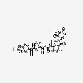 O=C1CCC(N2Cc3c(NC(=O)CNc4ccnc(Nc5ccc6c(c5)ONO6)n4)cccc3C2=O)C(=O)N1